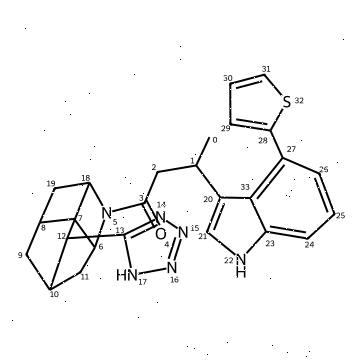 CC(CC(=O)N1C2CC3CC(C2)C(c2nnn[nH]2)C1C3)c1c[nH]c2cccc(-c3cccs3)c12